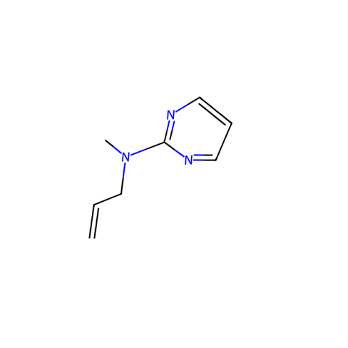 C=CCN(C)c1ncccn1